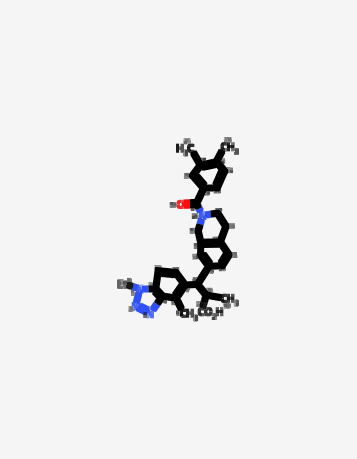 CCn1nnc2c(C)c(C(c3ccc4c(c3)CN(C(=O)c3ccc(C)c(C)c3)CC4)C(C)C(=O)O)ccc21